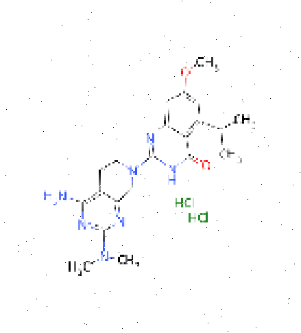 COc1cc(C(C)C)c2c(=O)[nH]c(N3CCc4c(N)nc(N(C)C)nc4C3)nc2c1.Cl.Cl